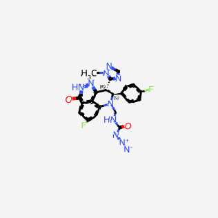 Cn1ncnc1[C@H]1c2n[nH]c(=O)c3cc(F)cc(c23)N(CNC(=O)N=[N+]=[N-])[C@@H]1c1ccc(F)cc1